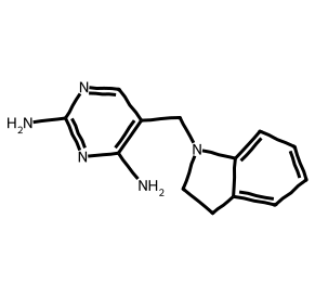 Nc1ncc(CN2CCc3ccccc32)c(N)n1